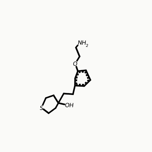 NCCOc1cccc(CCC2(O)CCSCC2)c1